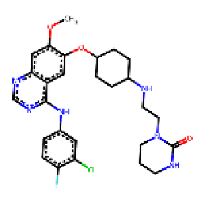 COc1cc2ncnc(Nc3ccc(F)c(Cl)c3)c2cc1OC1CCC(NCCN2CCCNC2=O)CC1